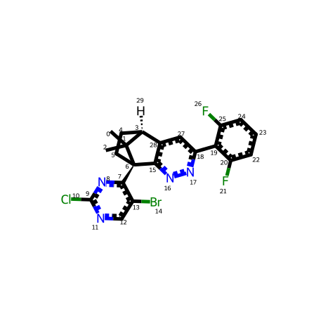 CC1(C)[C@H]2CC[C@@]1(c1nc(Cl)ncc1Br)c1nnc(-c3c(F)cccc3F)cc12